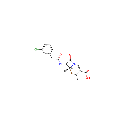 CC1S[C@@H]2C(NC(=O)Cc3cccc(Cl)c3)C(=O)N2C=C1C(=O)O